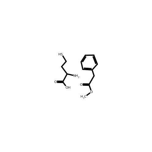 COC(=O)Cc1ccccc1.NC(CCS)C(=O)O